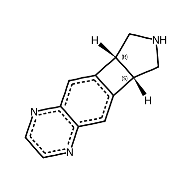 c1cnc2cc3c(cc2n1)[C@H]1CNC[C@@H]31